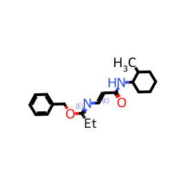 CC/C(=N\C=C\C(=O)NC1CCCCC1C)OCc1ccccc1